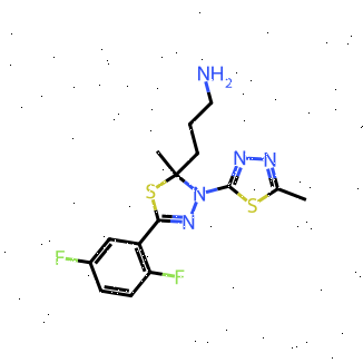 Cc1nnc(N2N=C(c3cc(F)ccc3F)SC2(C)CCCN)s1